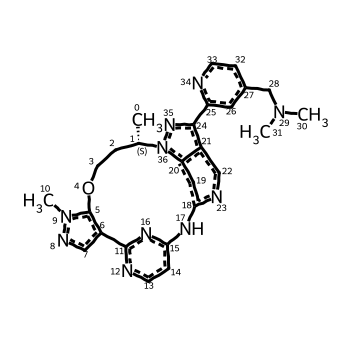 C[C@H]1CCOc2c(cnn2C)-c2nccc(n2)Nc2cc3c(cn2)c(-c2cc(CN(C)C)ccn2)nn31